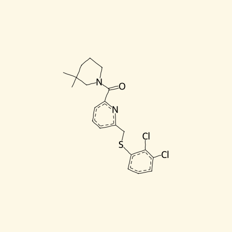 CC1(C)CCCN(C(=O)c2cccc(CSc3cccc(Cl)c3Cl)n2)C1